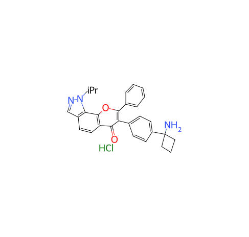 CC(C)n1ncc2ccc3c(=O)c(-c4ccc(C5(N)CCC5)cc4)c(-c4ccccc4)oc3c21.Cl